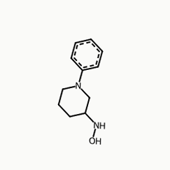 ONC1CCCN(c2ccccc2)C1